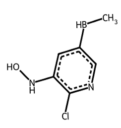 CBc1cnc(Cl)c(NO)c1